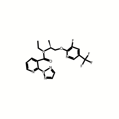 CCN(C(=O)c1cccnc1-n1nccn1)[C@@H](C)COc1ncc(C(F)(F)F)cc1F